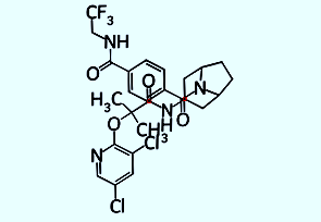 CC(C)(Oc1ncc(Cl)cc1Cl)C(=O)NC1CC2CCC(C1)N2C(=O)c1ccc(C(=O)NCC(F)(F)F)cc1